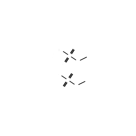 COS(=O)(=O)O.COS(=O)(=O)O.S